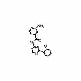 Nc1cc(C(=O)Nc2ncnc(-c3ccccc3Cl)n2)ccn1